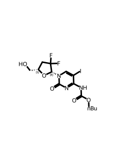 CCCCOC(=O)Nc1nc(=O)n([C@@H]2O[C@H](CO)CC2(F)F)cc1I